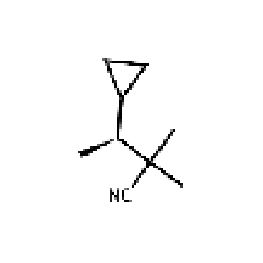 C[C@@H](C1CC1)C(C)(C)C#N